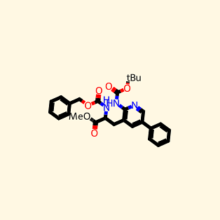 COC(=O)C(Cc1cc(-c2ccccc2)cnc1NC(=O)OC(C)(C)C)NC(=O)OCc1ccccc1